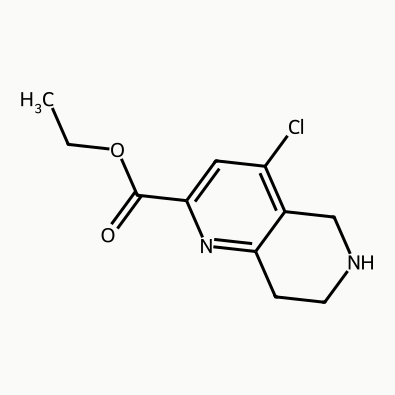 CCOC(=O)c1cc(Cl)c2c(n1)CCNC2